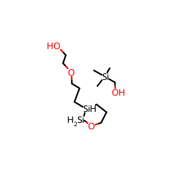 C[Si](C)(C)CO.OCCOCCC[SiH]1CCCO[SiH2]1